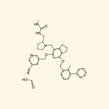 CNC(=O)NCC1CCCN1Cc1c(OCc2cncc(C#N)c2)cc(OCc2cccc(-c3ccccc3)c2C)c2c1CCC2.O=CO